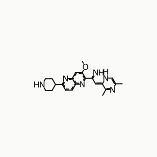 COc1cc2nc(C3CCNCC3)ccc2nc1C(=N)/C=C1\NC=C(C)N=C1C